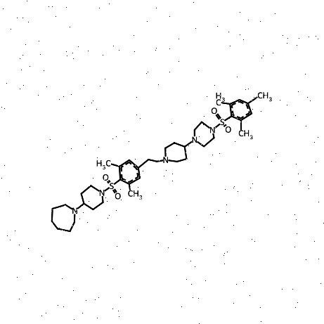 Cc1cc(C)c(S(=O)(=O)N2CCN(C3CCN(CCc4cc(C)c(S(=O)(=O)N5CCC(N6CCCCCC6)CC5)c(C)c4)CC3)CC2)c(C)c1